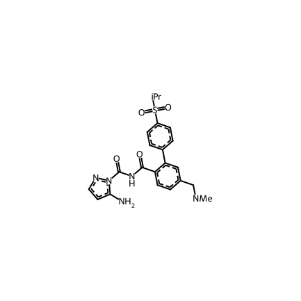 CNCc1ccc(C(=O)NC(=O)n2nccc2N)c(-c2ccc(S(=O)(=O)C(C)C)cc2)c1